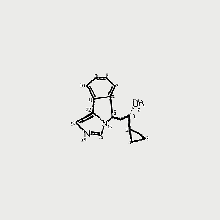 O[C@H](C1CC1)[C@@H]1c2ccccc2-c2cncn21